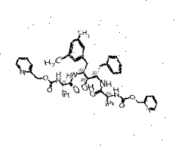 Cc1cc(C)cc(C[C@H](NC(=O)[C@@H](NC(=O)OCc2ccccn2)C(C)C)[C@H](O)[C@H](Cc2ccccc2)NC(=O)[C@@H](NC(=O)OCc2ccccn2)C(C)C)c1